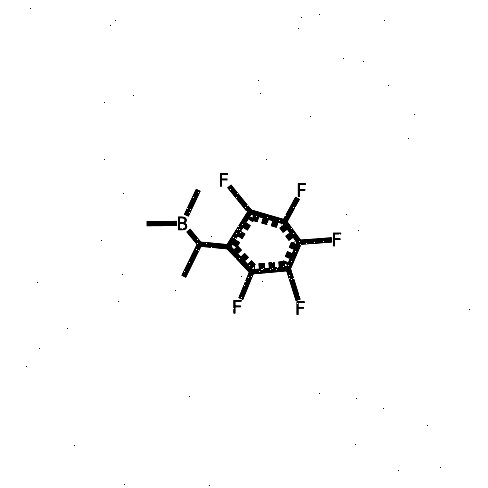 CB(C)C(C)c1c(F)c(F)c(F)c(F)c1F